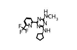 CNc1nc(NC2CCCC2)nc(-c2cccc(C(F)(F)F)n2)n1